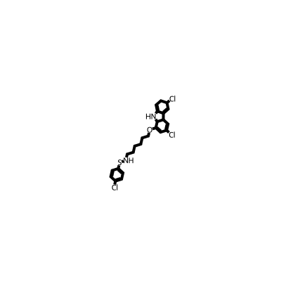 ClC1=CC2C3=CC(Cl)CC=C3NC2C(OCCCCCCNSc2ccc(Cl)cc2)=C1